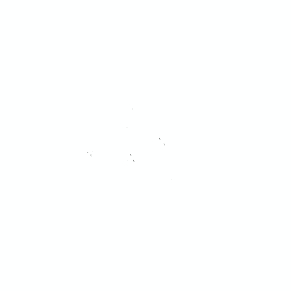 Cc1nc(S)c(C=O)c(NC2CCCC2)n1